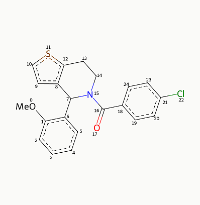 COc1ccccc1C1c2ccsc2CCN1C(=O)c1ccc(Cl)cc1